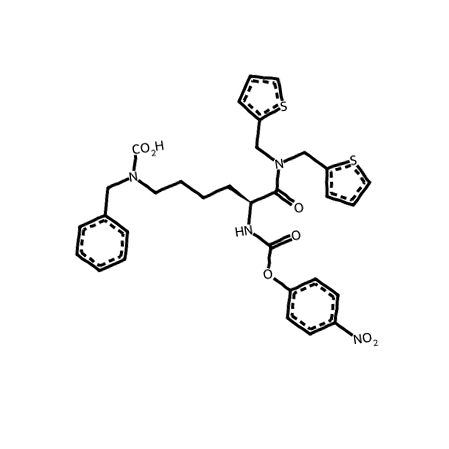 O=C(N[C@@H](CCCCN(Cc1ccccc1)C(=O)O)C(=O)N(Cc1cccs1)Cc1cccs1)Oc1ccc([N+](=O)[O-])cc1